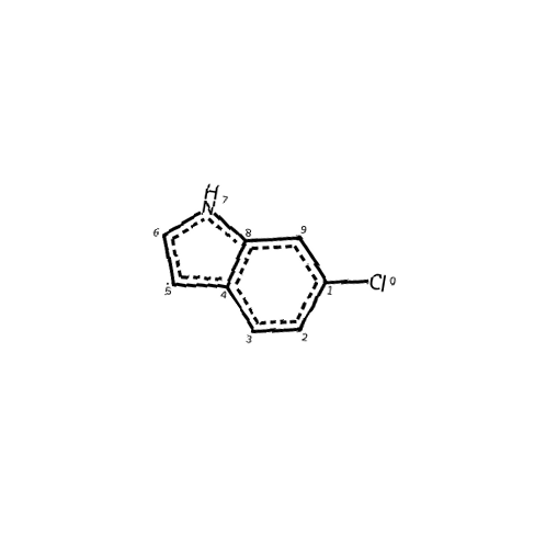 Clc1ccc2[c]c[nH]c2c1